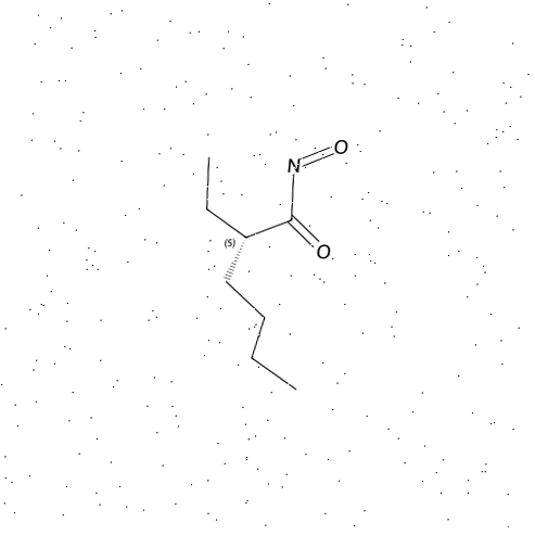 CCCC[C@H](CC)C(=O)N=O